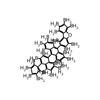 Bc1c(B)c(B)c(-c2c(B)c(B)c(-c3c4c(B)c(B)c(B)c(B)c4c(-c4c(B)c(B)c5oc6c(B)c(B)c(B)c(B)c6c5c4B)c4c(B)c(B)c(B)c(B)c34)c3c(B)c(B)c(B)c(B)c23)c(B)c1B